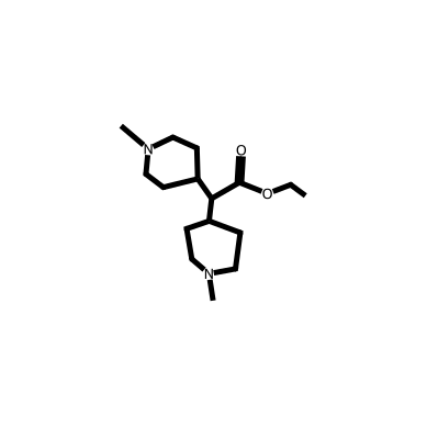 CCOC(=O)C(C1CCN(C)CC1)C1CCN(C)CC1